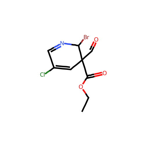 CCOC(=O)C1(C=O)C=C(Cl)C=NC1Br